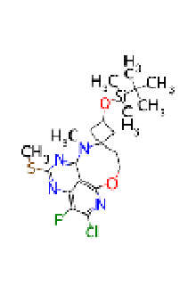 CSc1nc2c3c(nc(Cl)c(F)c3n1)OCCC1(CC(O[Si](C)(C)C(C)(C)C)C1)N2C